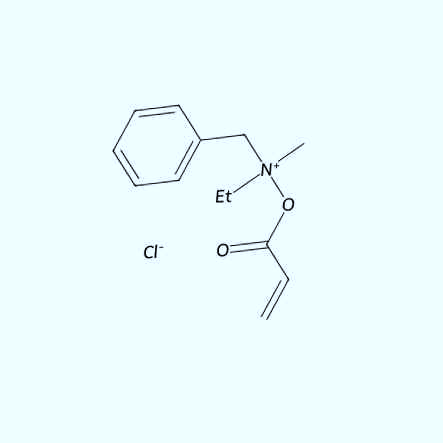 C=CC(=O)O[N+](C)(CC)Cc1ccccc1.[Cl-]